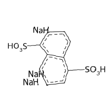 O=S(=O)(O)c1cccc2c(S(=O)(=O)O)cccc12.[NaH].[NaH].[NaH]